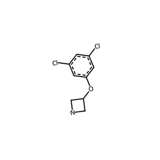 Clc1cc(Cl)cc(OC2C[N]C2)c1